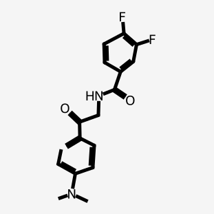 C=C(/C=C\C(=C/C)N(C)C)C(=O)CNC(=O)c1ccc(F)c(F)c1